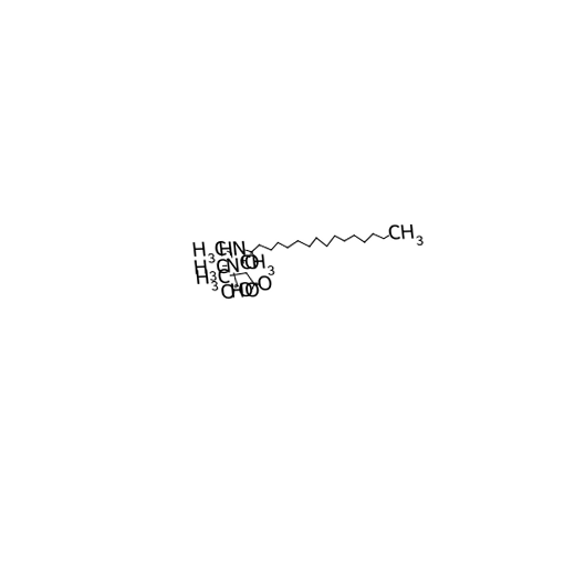 CCCCCCCCCCCCCCCC(=O)NC(C)[N+](C)(C)C(C)(CC(=O)O)C(=O)[O-]